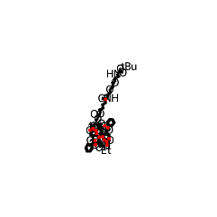 CC[C@]12SS[C@@]3(C[C@]4([C@]56C[C@@]78SS[C@@](COC(=O)OCCCCC(=O)NCCOCCOCCNC(=O)OC(C)(C)C)(C(=O)N7[C@H]5N(S(=O)(=O)c5ccccc5)c5ccccc56)N(C)C8=O)c5ccccc5N(S(=O)(=O)c5ccccc5)[C@@H]4N3C1=O)C(=O)N2C